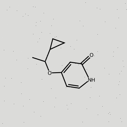 CC(Oc1cc[nH]c(=O)c1)C1CC1